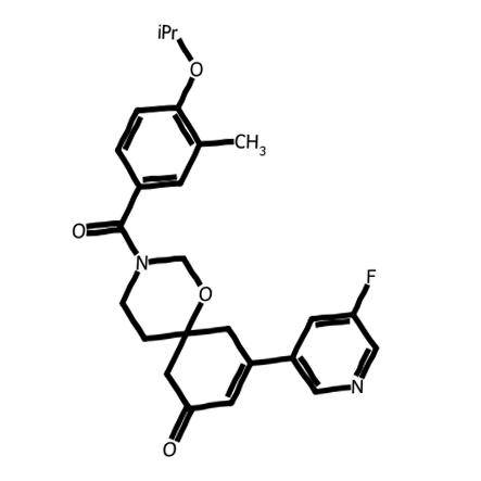 Cc1cc(C(=O)N2CCC3(CC(=O)C=C(c4cncc(F)c4)C3)OC2)ccc1OC(C)C